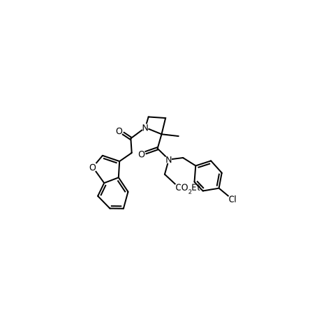 CCOC(=O)CN(Cc1ccc(Cl)cc1)C(=O)C1(C)CCN1C(=O)Cc1coc2ccccc12